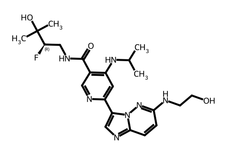 CC(C)Nc1cc(-c2cnc3ccc(NCCO)nn23)ncc1C(=O)NC[C@@H](F)C(C)(C)O